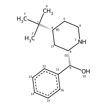 CC(C)(C)[C@@H]1CCN[C@H](C(O)c2ccccc2)C1